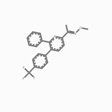 CO/N=C(\C)c1ccc(-c2ccc(C(F)(F)F)cc2)c(-c2ccccc2)n1